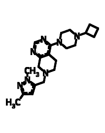 Cc1cc(CN2CCc3c(ncnc3N3CCN(C4CCC4)CC3)C2)n(C)n1